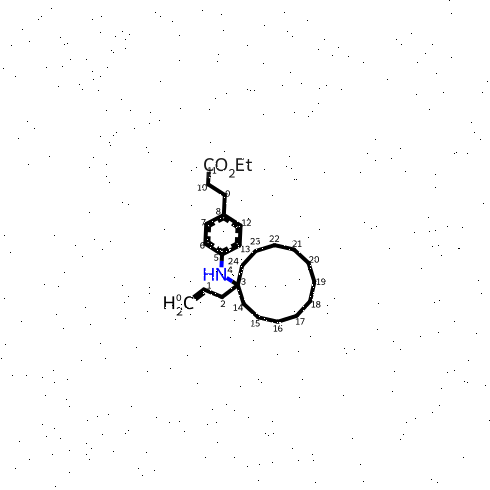 C=CCC1(Nc2ccc(CCC(=O)OCC)cc2)CCCCCCCCCCC1